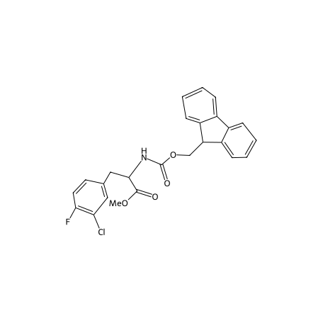 COC(=O)C(Cc1ccc(F)c(Cl)c1)NC(=O)OCC1c2ccccc2-c2ccccc21